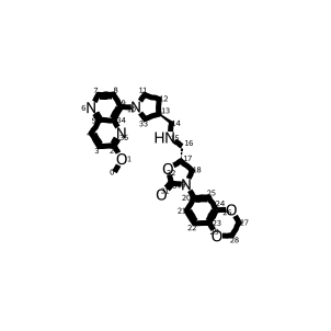 COc1ccc2nccc(N3CC[C@@H](CNC[C@@H]4CN(c5ccc6c(c5)OCCO6)C(=O)O4)C3)c2n1